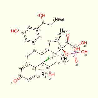 CNCC(O)c1cccc(O)c1.C[C@@H]1CC2C3CCC4=CC(=O)C=C[C@]4(C)[C@@]3(F)[C@@H](O)C[C@]2(C)[C@@]1(OP(=O)(O)O)C(=O)CO